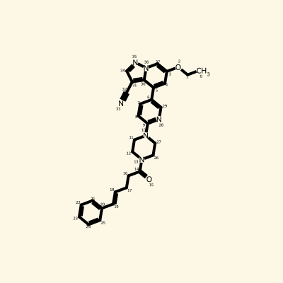 CCOc1cc(-c2ccc(N3CCN(C(=O)CC/C=C/c4ccccc4)CC3)nc2)c2c(C#N)cnn2c1